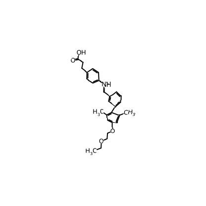 CCOCCOc1cc(C)c(-c2cccc(CNc3ccc(CCC(=O)O)cc3)c2)c(C)c1